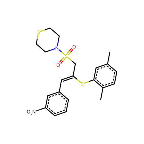 Cc1ccc(C)c(SC(=Cc2cccc([N+](=O)[O-])c2)CS(=O)(=O)N2CCSCC2)c1